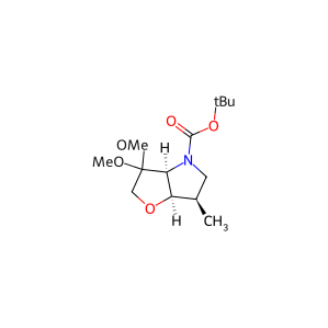 COC1(OC)CO[C@@H]2[C@H](C)CN(C(=O)OC(C)(C)C)[C@@H]21